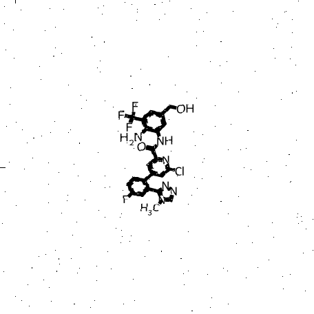 Cn1cnnc1-c1cc(F)ccc1-c1cc(Cl)nc(C(=O)Nc2cc(CO)cc(C(F)(F)F)c2N)c1